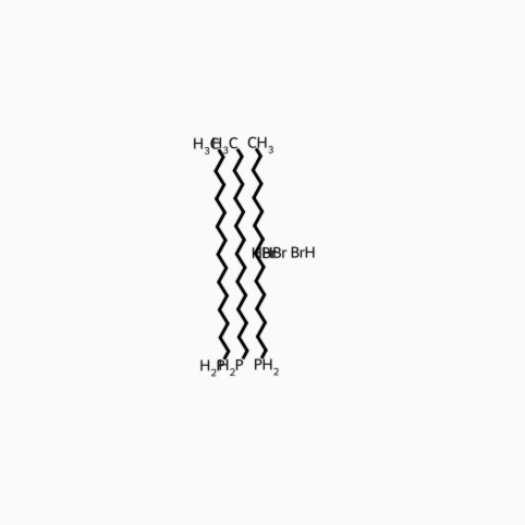 Br.Br.Br.CCCCCCCCCCCCCCCCP.CCCCCCCCCCCCCCCCP.CCCCCCCCCCCCCCCCP